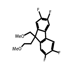 COCCC1(COC)c2cc(F)c(F)cc2-c2cc(F)c(F)cc21